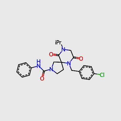 CC(C)N1CC(=O)N(Cc2ccc(Cl)cc2)C2(CCN(C(=O)Nc3ccccc3)C2)C1=O